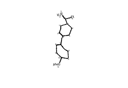 CCC(N)C1CCC(C2CCC(OC)CC2)CC1